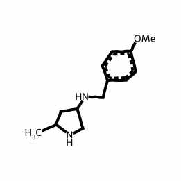 COc1ccc(CNC2CNC(C)C2)cc1